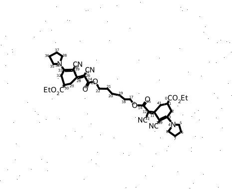 CCOC(=O)C1CC(N2CCCC2)=C(C#N)/C(=C(\C#N)C(=O)OCCCCCCOC(=O)/C(C#N)=C2\CC(C(=O)OCC)CC(N3CCCC3)=C2C#N)C1